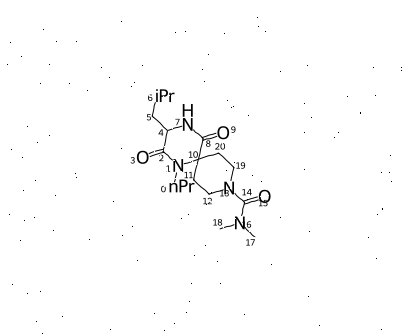 CCCN1C(=O)C(CC(C)C)NC(=O)C12CCN(C(=O)N(C)C)CC2